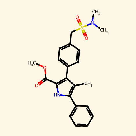 COC(=O)c1[nH]c(-c2ccccc2)c(C)c1-c1ccc(CS(=O)(=O)N(C)C)cc1